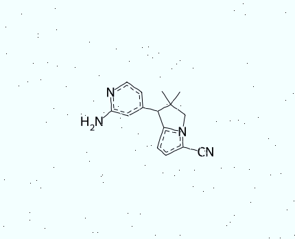 CC1(C)Cn2c(C#N)ccc2C1c1ccnc(N)c1